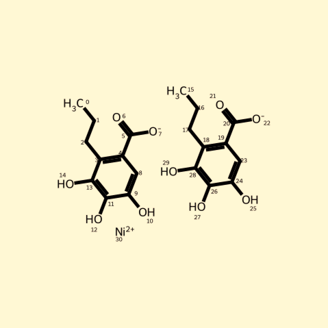 CCCc1c(C(=O)[O-])cc(O)c(O)c1O.CCCc1c(C(=O)[O-])cc(O)c(O)c1O.[Ni+2]